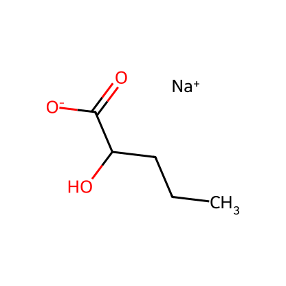 CCCC(O)C(=O)[O-].[Na+]